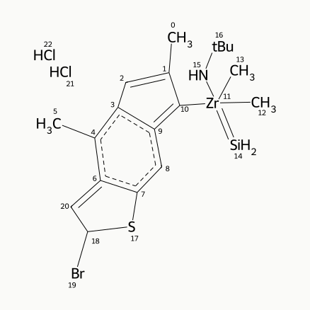 CC1=Cc2c(C)c3c(cc2=[C]1[Zr]([CH3])([CH3])(=[SiH2])[NH]C(C)(C)C)SC(Br)C=3.Cl.Cl